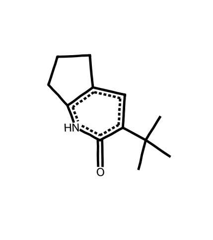 CC(C)(C)c1cc2c([nH]c1=O)CCC2